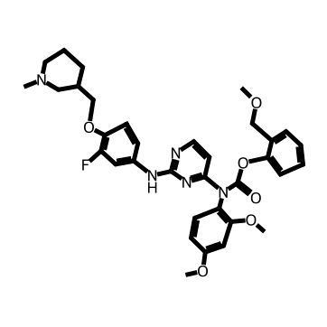 COCc1ccccc1OC(=O)N(c1ccnc(Nc2ccc(OCC3CCCN(C)C3)c(F)c2)n1)c1ccc(OC)cc1OC